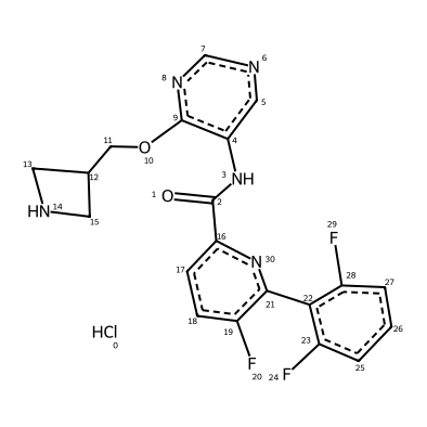 Cl.O=C(Nc1cncnc1OCC1CNC1)c1ccc(F)c(-c2c(F)cccc2F)n1